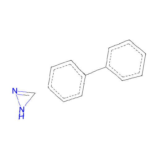 C1=NN1.c1ccc(-c2ccccc2)cc1